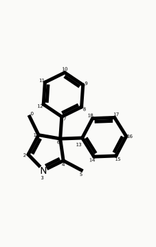 CC1=CN=C(C)C1(c1ccccc1)c1ccccc1